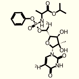 [2H]c1cn([C@@H]2O[C@H](C([2H])O[P@@](=O)(NC(C)C(=O)OC(C)C)Oc3ccccc3)[C@@H](O)[C@@]2(C)O)c(=O)[nH]c1=O